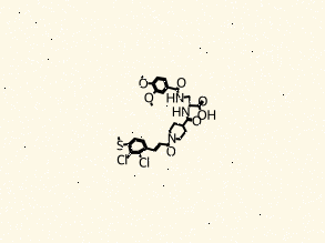 COc1ccc(C(=O)NC[C@H](NC(=O)C2CCN(C(=O)/C=C/c3ccc(SC)c(Cl)c3Cl)CC2)C(=O)O)cc1OC